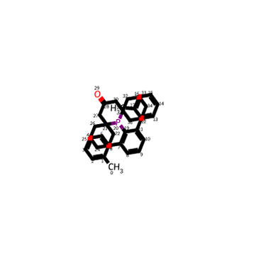 Cc1ccccc1-c1cccc(-c2ccccc2C)c1P1C2(CCCCC2)CC(=O)CC12CCCCC2